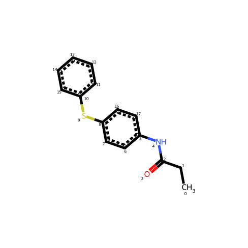 CCC(=O)Nc1ccc(Sc2ccccc2)cc1